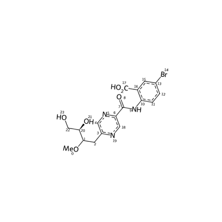 COC(Cc1cnc(C(=O)Nc2ccc(Br)cc2C(=O)O)cn1)[C@H](O)CO